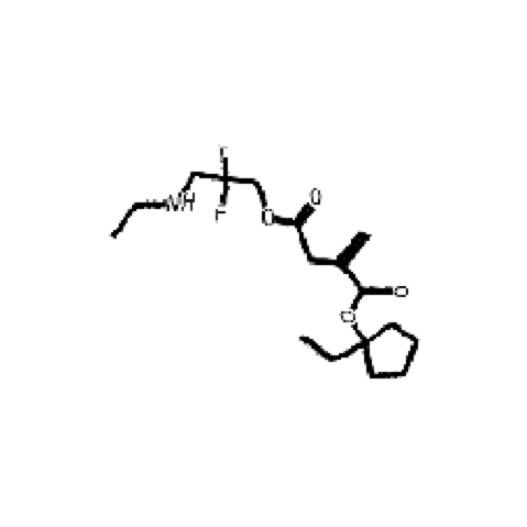 C=C(CC(=O)OCC(F)(F)CNCC)C(=O)OC1(CC)CCCC1